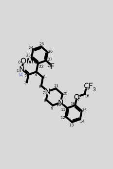 CO/N=C(/C)C(CCN1CCN(c2ccccc2OCC(F)(F)F)CC1)c1ccccc1F